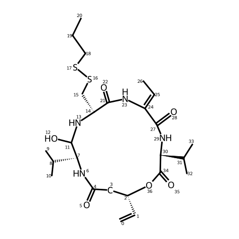 C=C[C@@H]1CC(=O)N[C@H](C(C)C)C(O)N[C@H](CSSCCC)C(=O)N/C(=C\C)C(=O)N[C@@H](C(C)C)C(=O)O1